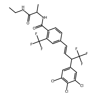 CCNC(=O)C(C)NC(=O)c1ccc(/C=C/C(c2cc(Cl)c(Cl)c(Cl)c2)C(F)(F)F)cc1C(F)(F)F